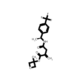 C=C(CC(=O)N[C@@H](C)c1ccc(C(F)(F)F)cc1)C(=O)OC1(C)COC1